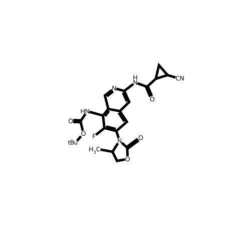 CC1COC(=O)N1c1cc2cc(NC(=O)C3CC3C#N)ncc2c(NC(=O)OC(C)(C)C)c1F